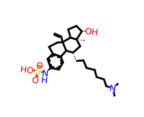 C=CC12CCc3cc(NS(=O)(=O)O)ccc3C1[C@@H](CCCCCCCN(C)C)C[C@@]1(C)C2CC[C@@H]1O